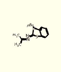 CCCCn1/c(=N/N=C(C)C)sc2ccccc21